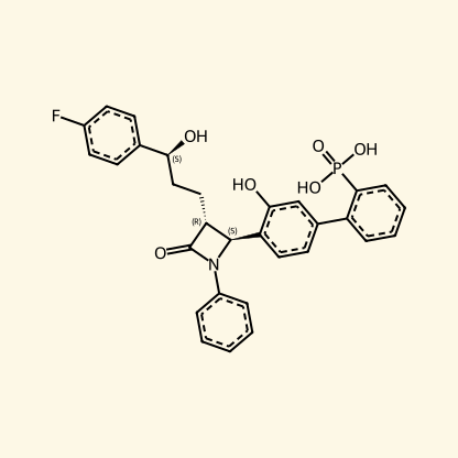 O=C1[C@H](CC[C@H](O)c2ccc(F)cc2)[C@@H](c2ccc(-c3ccccc3P(=O)(O)O)cc2O)N1c1ccccc1